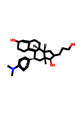 CN(C)c1ccc([C@H]2C[C@@]3(C)[C@H](O)C(CCCO)C[C@H]3[C@@H]3CCC4=CC(O)CCC4=C32)cc1